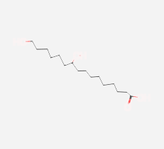 O=C(O)CCCCCCCCC(O)CCCCCCO